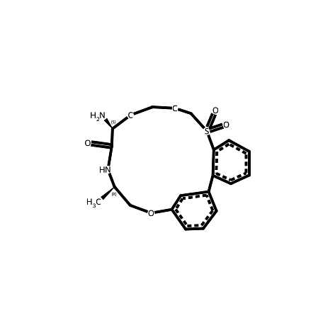 C[C@@H]1COc2cccc(c2)-c2ccccc2S(=O)(=O)CCCC[C@H](N)C(=O)N1